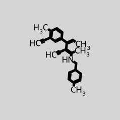 C#CC(/C(=C\C)c1ccc(C)c(C#C)c1)=C(/C)NCC1C=CC(C)=CC1